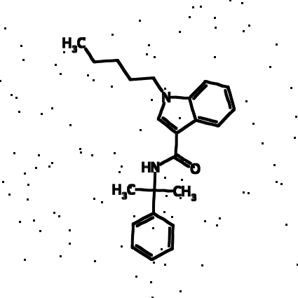 CCCCCn1cc(C(=O)NC(C)(C)c2ccccc2)c2ccccc21